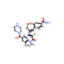 Cc1cc(C(=O)N2CCNCC2)ccc1N(C)C(=O)c1cc2c(s1)-c1ccc(C(N)=O)cc1OCC2